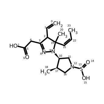 C=CC1C(CC(=O)O)=NN([C@H]2CN(S(=O)O)C[C@H]2C)C1(C)/C=C\C